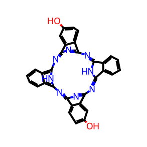 Oc1ccc2c(c1)-c1nc-2nc2[nH]c(nc3nc(nc4[nH]c(n1)c1ccccc41)-c1ccc(O)cc1-3)c1ccccc21